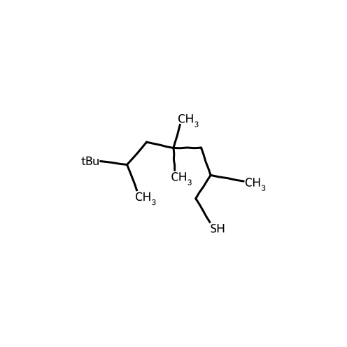 CC(CS)CC(C)(C)CC(C)C(C)(C)C